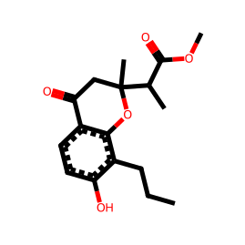 CCCc1c(O)ccc2c1OC(C)(C(C)C(=O)OC)CC2=O